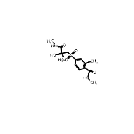 CNC(=O)c1ccc(S(=O)(=O)CC(C)(O)C(=O)NC)cc1C